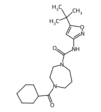 CC(C)(C)c1cc(NC(=O)N2CCCN(C(=O)C3CCCCC3)CC2)no1